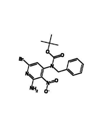 CC(C)(C)OC(=O)N(Cc1ccccc1)c1cc(Br)nc(N)c1[N+](=O)[O-]